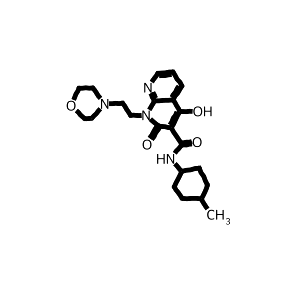 CC1CCC(NC(=O)c2c(O)c3cccnc3n(CCN3CCOCC3)c2=O)CC1